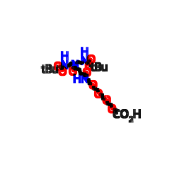 CC(C)(C)OC(=O)NCCN(CCNC(=O)OC(C)(C)C)C(=O)CCC(=O)NCCOCCOCCOCCOCC(=O)O